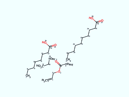 C=CCOC(=O)CCCCC.CCCCCCCC(=O)O.CCCCCCCCCC(=O)O.CCCCCCCCCCCC(=O)O